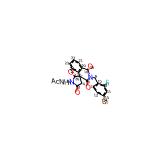 CC(=O)NN1C(=O)CC2(C(=O)N(Cc3ccc(Br)cc3F)C(=O)c3ccccc32)C1=O